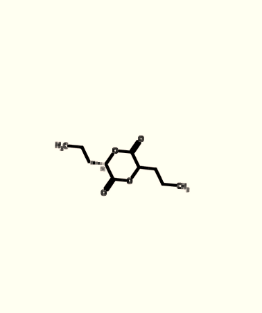 CCCC1OC(=O)[C@H](CCC)OC1=O